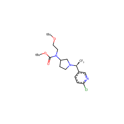 CC(C)(C)OCCN(C(=O)OC(C)(C)C)C1CCN([C@H](c2ccc(Cl)nc2)C(F)(F)F)C1